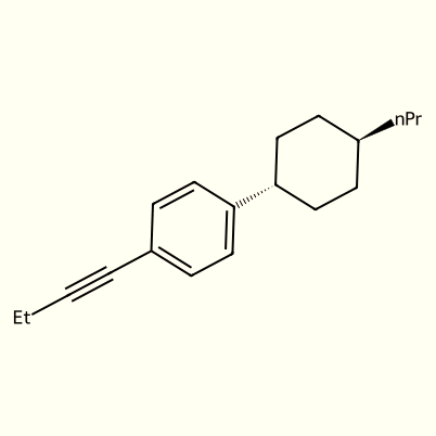 CCC#Cc1ccc([C@H]2CC[C@H](CCC)CC2)cc1